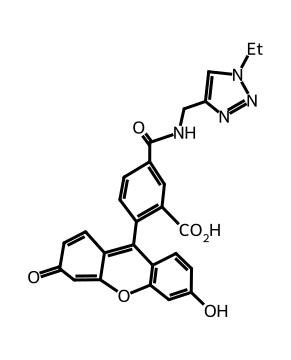 CCn1cc(CNC(=O)c2ccc(-c3c4ccc(=O)cc-4oc4cc(O)ccc34)c(C(=O)O)c2)nn1